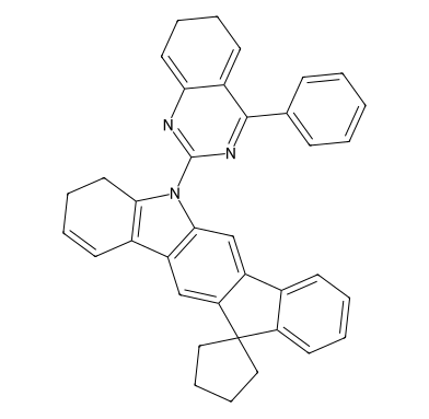 C1=Cc2c(n(-c3nc(-c4ccccc4)c4c(n3)=CCCC=4)c3cc4c(cc23)C2(CCCC2)c2ccccc2-4)CC1